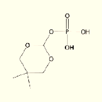 CC1(C)COC(OP(=O)(O)O)OC1